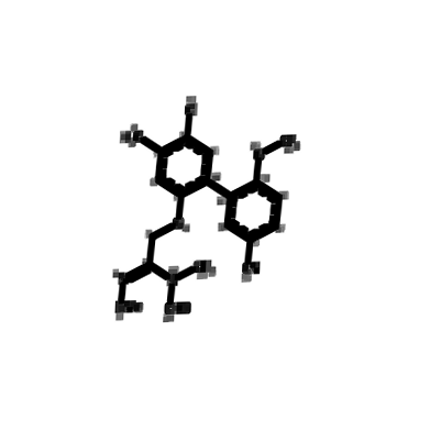 CN/N=C(/COc1cc(C)c(Cl)cc1-c1cc(C#N)ccc1OC(F)(F)F)N(C)C=O